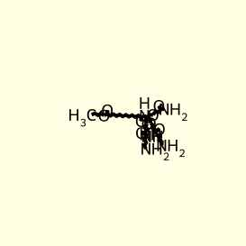 CCCCOC(=O)CCCCCCCCCCC(=O)NC(COCCC(N)=O)(COCCC(=O)NCCCN)COCCC(=O)NCCCN